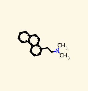 CN(C)CCc1cccc2c1ccc1ccccc12